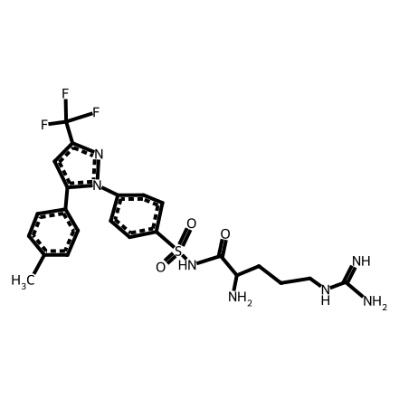 Cc1ccc(-c2cc(C(F)(F)F)nn2-c2ccc(S(=O)(=O)NC(=O)C(N)CCCNC(=N)N)cc2)cc1